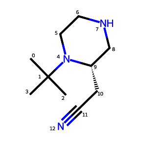 CC(C)(C)N1CCNC[C@@H]1CC#N